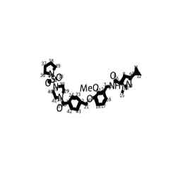 COc1c(CNC(=O)c2cc(C3CC3)nn2C)cccc1OCc1ccc(C(=O)N2CCN(S(=O)(=O)N3CCCC3)CC2)cc1